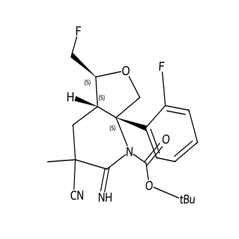 CC(C)(C)OC(=O)N1C(=N)C(C)(C#N)C[C@@H]2[C@@H](CF)OC[C@@]21c1ccccc1F